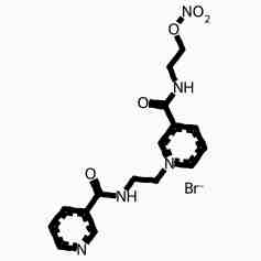 O=C(NCCO[N+](=O)[O-])c1ccc[n+](CCNC(=O)c2cccnc2)c1.[Br-]